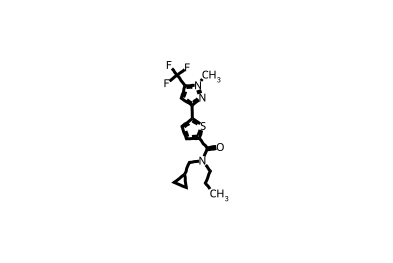 CCCN(CC1CC1)C(=O)c1ccc(-c2cc(C(F)(F)F)n(C)n2)s1